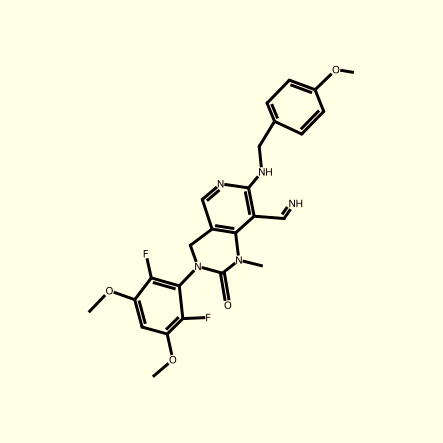 COc1ccc(CNc2ncc3c(c2C=N)N(C)C(=O)N(c2c(F)c(OC)cc(OC)c2F)C3)cc1